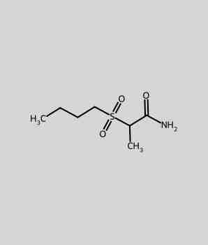 CCCCS(=O)(=O)C(C)C(N)=O